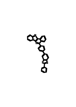 c1ccc(-c2nc3ccc(-c4ccc(-c5nc6c(nc7ccccn76)c6ccccc56)cc4)cc3s2)cc1